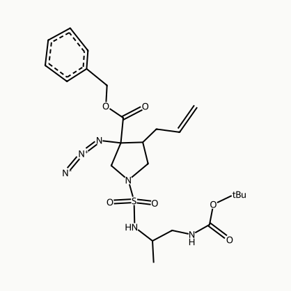 C=CCC1CN(S(=O)(=O)NC(C)CNC(=O)OC(C)(C)C)CC1(N=[N+]=[N-])C(=O)OCc1ccccc1